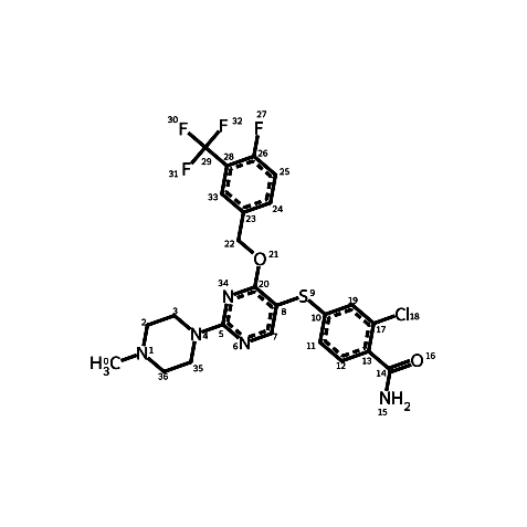 CN1CCN(c2ncc(Sc3ccc(C(N)=O)c(Cl)c3)c(OCc3ccc(F)c(C(F)(F)F)c3)n2)CC1